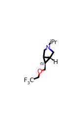 CC(C)N1CC2[C@H](COCC(F)(F)F)[C@H]2C1